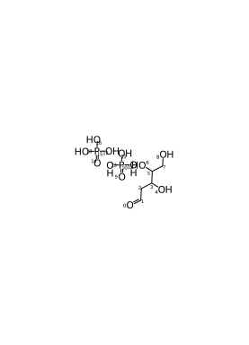 O=CCC(O)C(O)CO.O=P(O)(O)O.O=P(O)(O)O